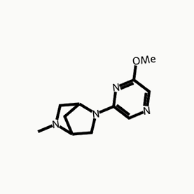 COc1cncc(N2CC3CC2CN3C)n1